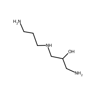 NCCCNCC(O)CN